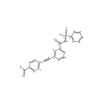 CC(=O)c1ccc(C#Cc2cncc(C(=O)N=S(C)(=O)c3ccccc3)c2)cc1